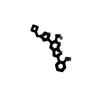 Nc1nc2nc(-c3ccccc3O)cn2cc1-c1cn(CC2CCC2)cn1